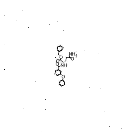 NC(=O)CC[C@H](NC(=O)c1cccc(Oc2ccccc2)c1)C(=O)OCc1ccccc1